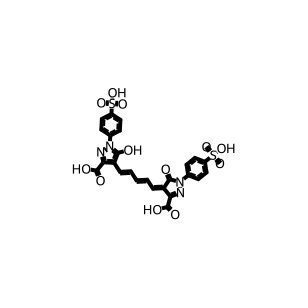 O=C(O)C1=NN(c2ccc(S(=O)(=O)O)cc2)C(=O)C1=CC=CC=Cc1c(C(=O)O)nn(-c2ccc(S(=O)(=O)O)cc2)c1O